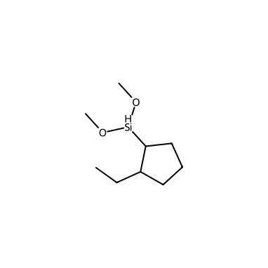 CCC1CCCC1[SiH](OC)OC